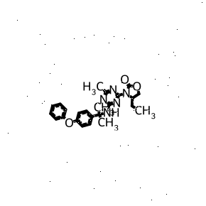 CCC1COC(=O)N1c1nc(C)nc(NC(C)(C)c2ccc(Oc3ccccc3)cc2)n1